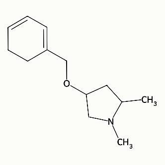 CC1CC(OCC2=CC=CCC2)CN1C